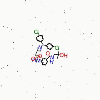 CC(C)(O)CNC(=O)c1cccc(NS(=O)(=O)CC2CN(C(c3ccc(Cl)cc3)c3ccc(Cl)cc3)C2)c1